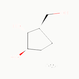 CO[C@H]1C[C@H](CO)[C@@H](O)[C@@H]1O